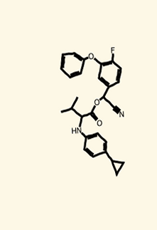 CC(C)C(Nc1ccc(C2CC2)cc1)C(=O)OC(C#N)c1ccc(F)c(Oc2ccccc2)c1